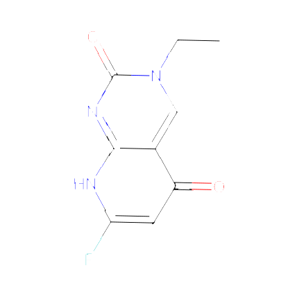 CCn1cc2c(=O)cc(F)[nH]c2nc1=O